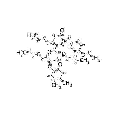 C=CCOC[C@H]1O[C@@H](c2cc(Cc3ccc(OCC)cc3)c(Cl)cc2OCC=C)[C@H](OCCCC)[C@@H](OCCCC)[C@@H]1OCCCC